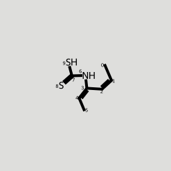 C/C=C\C(=C/C)NC(=S)S